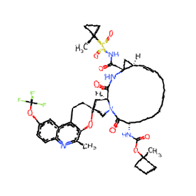 Cc1nc2ccc(OC(F)(F)F)cc2c2c1O[C@]1(CC2)C[C@H]2C(=O)N[C@]3(C(=O)NS(=O)(=O)C4(C)CC4)C[C@H]3/C=C\CCCCC[C@H](NC(=O)OC3(C)CCC3)C(=O)N2C1